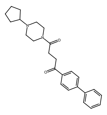 O=C(CCC(=O)N1CCN(C2CCCC2)CC1)c1ccc(-c2ccccc2)cc1